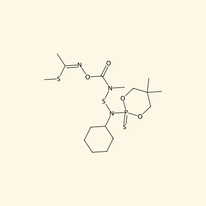 CSC(C)=NOC(=O)N(C)SN(C1CCCCC1)P1(=S)OCC(C)(C)CO1